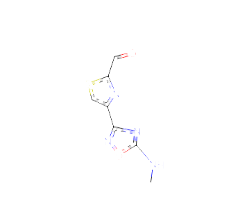 CNc1nc(-c2csc(C=O)n2)no1